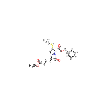 CCSC1CC2C(C/C=C/C(=O)OC)C(=O)N2[C@H]1C(=O)OCc1ccccc1